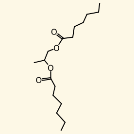 CCCCCCC(=O)OCC(C)OC(=O)CCCCCC